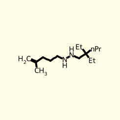 C=C(C)CCCNNCC(CC)(CC)CCC